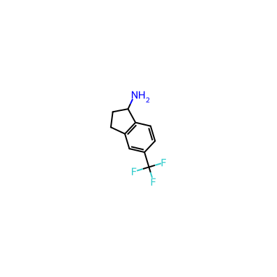 NC1CCc2cc(C(F)(F)F)ccc21